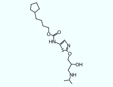 CC(C)NCC(O)COc1ncc(NC(=O)OCCCCC2CCCC2)s1